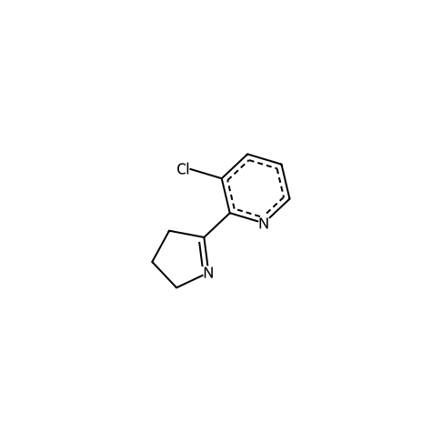 Clc1cccnc1C1=NCCC1